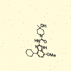 COc1ccc(C2CCCCC2)c2nc(NC(=O)N3CCC(C)(O)CC3)[nH]c12